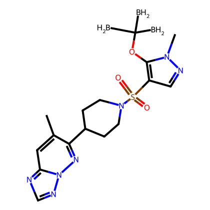 BC(B)(B)Oc1c(S(=O)(=O)N2CCC(c3nn4ncnc4cc3C)CC2)cnn1C